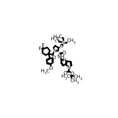 CC[Si](CC)(CC)O[C@@H]1CCN(C(=O)C2(c3ccc(OC)cc3)CCC(F)(F)CC2)[C@H]1C(=O)Nc1ccc2c(ccn2C(=O)OC(C)(C)C)n1